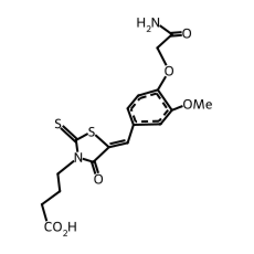 COc1cc(/C=C2\SC(=S)N(CCCC(=O)O)C2=O)ccc1OCC(N)=O